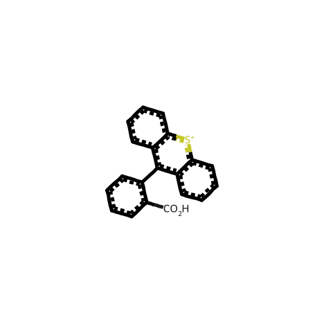 O=C(O)c1ccccc1-c1c2ccccc2[s+]c2ccccc12